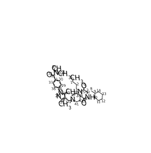 CCCCN1C(=O)[C@H](CC2CCCCC2)NC(=O)C12CCN(Cc1c(C)nn(-c3ccc(C(=O)N(C)C)cc3)c1C)CC2